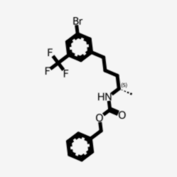 C[C@@H](CCCc1cc(Br)cc(C(F)(F)F)c1)NC(=O)OCc1ccccc1